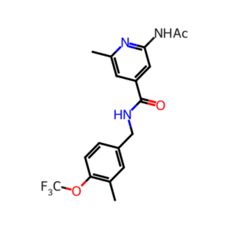 CC(=O)Nc1cc(C(=O)NCc2ccc(OC(F)(F)F)c(C)c2)cc(C)n1